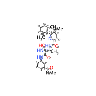 CNC(=O)c1cccc(NC(=O)/C(NO)=C(\C)NC(=O)c2ccc(OC)c(-c3c(C)cccc3C)n2)c1